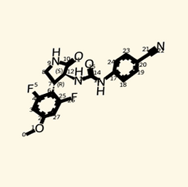 COc1cc(F)c([C@@H]2CNC(=O)[C@H]2NC(=O)Nc2ccc(C#N)cc2)c(F)c1